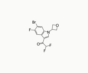 O=C(c1cn(C2COC2)c2cc(Br)c(F)cc12)C(F)F